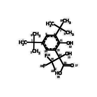 CC(C)(C)c1cc(C(C)(C)C)c(O)c(C(O)(C(=O)O)C(F)(F)F)c1